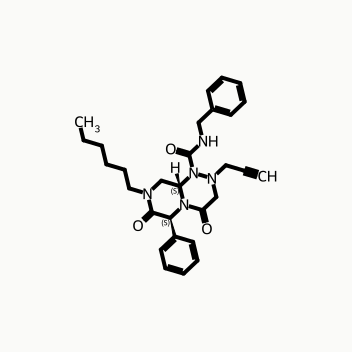 C#CCN1CC(=O)N2[C@@H](c3ccccc3)C(=O)N(CCCCCC)C[C@@H]2N1C(=O)NCc1ccccc1